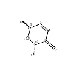 C[C@@H]1O[C@@H](C)C=CC1=O